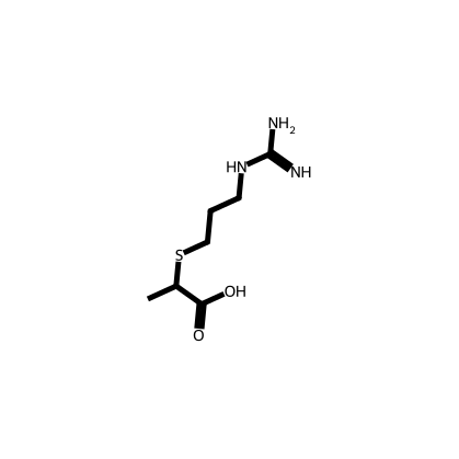 CC(SCCCNC(=N)N)C(=O)O